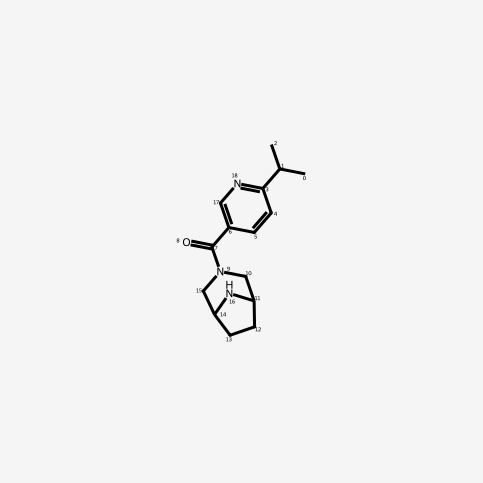 CC(C)c1ccc(C(=O)N2CC3CCC(C2)N3)cn1